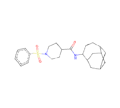 O=C(NC1CCC2CC3CC2CC1C3)C1CCN(S(=O)(=O)c2ccccc2)CC1